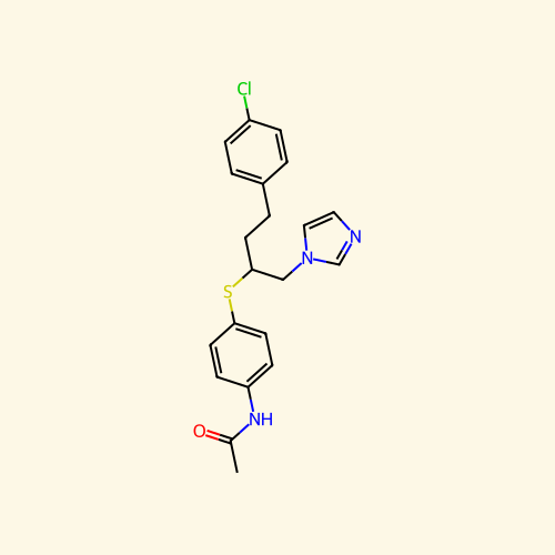 CC(=O)Nc1ccc(SC(CCc2ccc(Cl)cc2)Cn2ccnc2)cc1